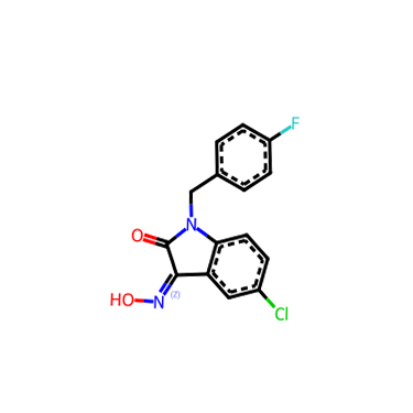 O=C1/C(=N\O)c2cc(Cl)ccc2N1Cc1ccc(F)cc1